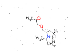 CC(=O)COC[C@@H]1C[C@@H]2C[C@@H]2N1C(C)C